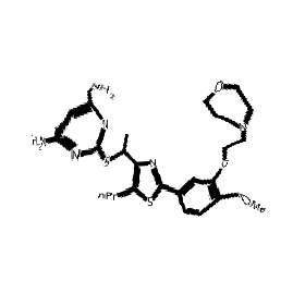 CCCc1sc(-c2ccc(OC)c(OCCN3CCOCC3)c2)nc1C(C)Sc1nc(N)cc(N)n1